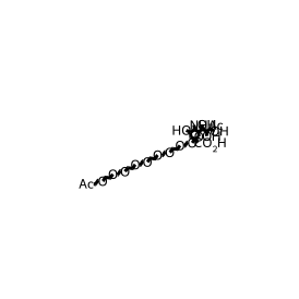 CC(=O)CCOCCOCCOCCOCCOCCOCCOCCOCCOC1(C(=O)O)CC(O)C(NC(C)=O)C(C(O)C(O)CO)O1